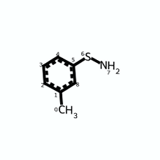 Cc1cccc(SN)c1